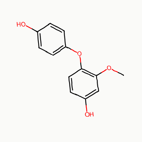 COc1cc(O)ccc1Oc1ccc(O)cc1